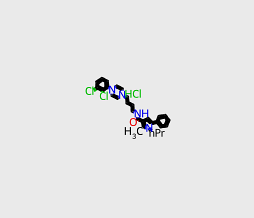 CCCn1c(-c2ccccc2)cc(C(=O)NCCCCN2CCN(c3cccc(Cl)c3Cl)CC2)c1C.Cl